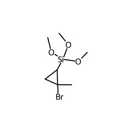 CO[Si](OC)(OC)C1CC1(C)Br